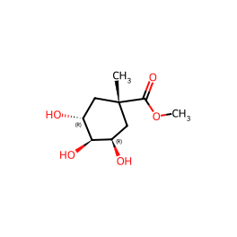 COC(=O)[C@]1(C)C[C@@H](O)[C@@H](O)[C@H](O)C1